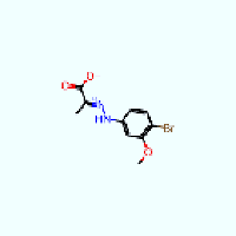 COc1cc(N/N=C(\C)C(=O)O)ccc1Br